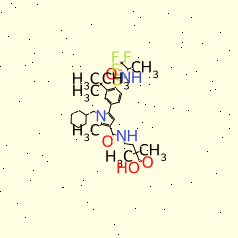 Cc1c(C(=O)NCCC(C)(C)C(=O)O)cc(-c2ccc([S+]([O-])NC(C)C(F)(F)F)c(C(C)(C)C)c2)n1CC1CCCCC1